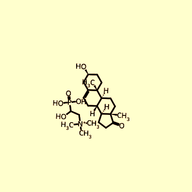 C[C@]12CC[C@H](O)CC1=CC[C@@H]1[C@@H]2CC[C@]2(C)C(=O)CC[C@@H]12.C[N+](C)(C)CC(O)P(=O)(O)O